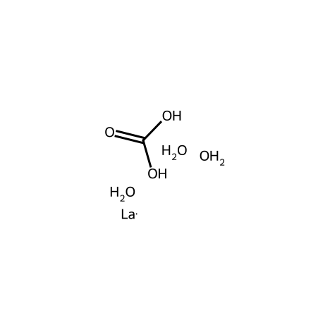 O.O.O.O=C(O)O.[La]